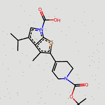 Cc1c(C2=CCN(C(=O)OC(C)(C)C)CC2)sc2c1c(C(C)C)cn2C(=O)O